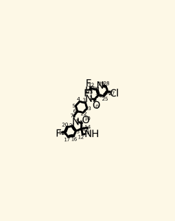 O=C(NC1CCC(CN2C(=O)C3(CNC3)c3ccc(F)cc32)CC1)c1cc(Cl)cnc1C(F)F